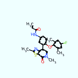 C=CC(=O)Nc1ccc(Oc2c(C)cc(F)cc2C)c(-c2cn(C)c(=O)c3sc(C)nc23)c1